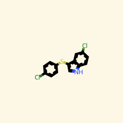 Clc1ccc(Sc2c[nH]c3ccc(Cl)cc23)cc1